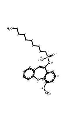 CCCCCCCCCOP(=O)(O)OC1=Cc2ccccc2Sc2c(OC)cccc21